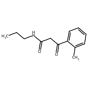 CCCNC(=O)CC(=O)c1ccccc1C